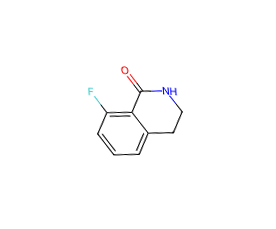 O=C1NCCc2cccc(F)c21